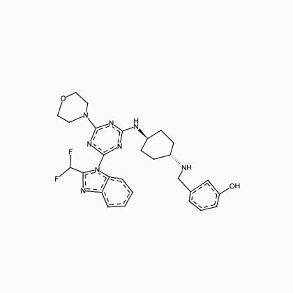 Oc1cccc(CN[C@H]2CC[C@H](Nc3nc(N4CCOCC4)nc(-n4c(C(F)F)nc5ccccc54)n3)CC2)c1